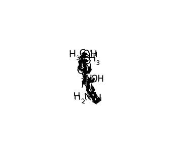 CC(C)(O)CN1CC2COc3c(Sc4cnc(N5CCC6(CC5)Cc5ncccc5[C@H]6N)c(CO)n4)ccnc3N2C1=O